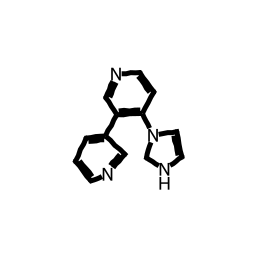 C1=CN(c2ccncc2-c2cccnc2)CN1